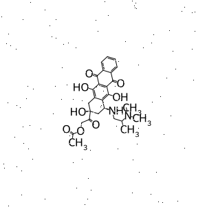 CC(=O)OCC(=O)[C@]1(O)Cc2c(O)c3c(c(O)c2[C@@H](NCC(C)N(C)C)C1)C(=O)c1ccccc1C3=O